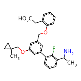 CC(N)c1cccc(-c2cc(COc3ccccc3CC(=O)O)cc(OCC3(C)CC3)c2)c1F